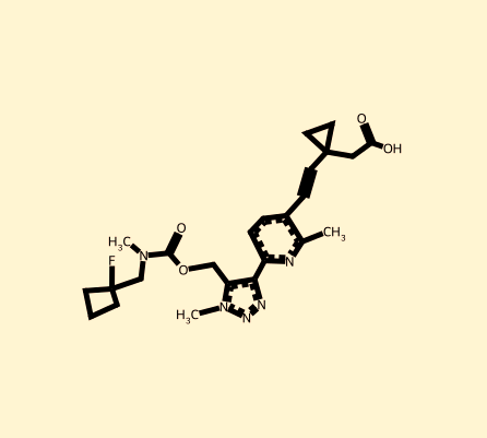 Cc1nc(-c2nnn(C)c2COC(=O)N(C)CC2(F)CCC2)ccc1C#CC1(CC(=O)O)CC1